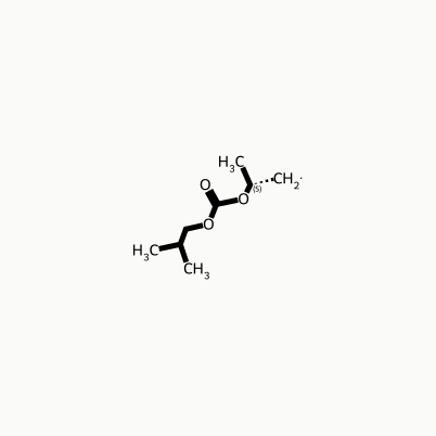 [CH2][C@@H](C)OC(=O)OCC(C)C